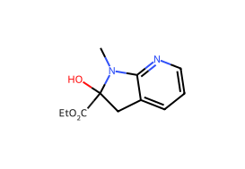 CCOC(=O)C1(O)Cc2cccnc2N1C